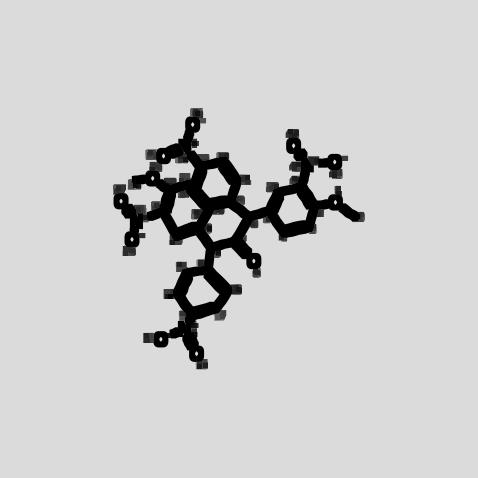 COc1ccc(C(C(=O)C(c2ccc([N+](=O)[O-])cc2)c2ccc(OC)c([N+](=O)[O-])c2)c2ccc([N+](=O)[O-])cc2)cc1[N+](=O)[O-]